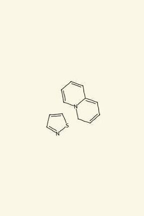 C1=CCN2C=CC=CC2=C1.c1cnsc1